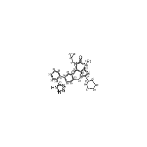 CCn1c(=O)n(CC2CC2)c(=O)c2c1nc(C1CCCCC1)n2Cc1ccc(-c2ccccc2-c2nnn[nH]2)cc1